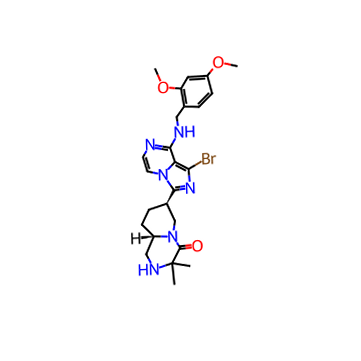 COc1ccc(CNc2nccn3c([C@@H]4CC[C@H]5CNC(C)(C)C(=O)N5C4)nc(Br)c23)c(OC)c1